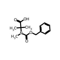 CN(C(=O)OCc1ccccc1)C(C)(C)C(=O)O